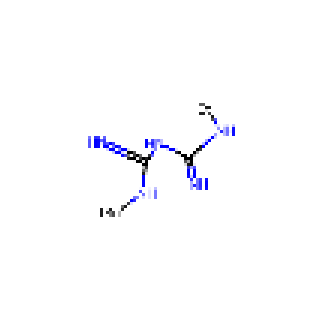 CCNC(=N)NC(=N)NC(C)(C)C